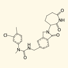 Cc1ccc(N(C)C(=O)NCc2ccc3c(c2)CN(C2CCCC(=O)NC2=O)C3=O)cc1Cl